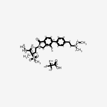 CON(C)CCc1ccc(-c2ccc3c(c2F)CN(CC[C@](C)(C(=O)NO)S(C)(=O)=O)C3=O)cc1.O=C(O)C(F)(F)F